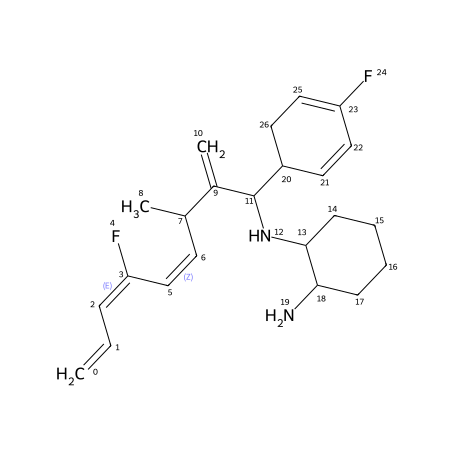 C=C/C=C(F)\C=C/C(C)C(=C)C(NC1CCCCC1N)C1C=CC(F)=CC1